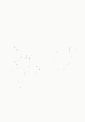 CC(C)Nc1nc(NCc2cccc(F)c2)c2sccc2n1